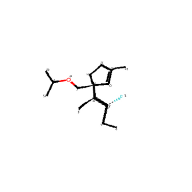 CC[C@@H](F)[C@@H](C)[C@@]1(COC(C)C)C=C(C)CC1